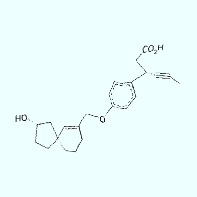 CC#C[C@@H](CC(=O)O)c1ccc(OCC2=C[C@@]3(CCC2)CC[C@H](O)C3)cc1